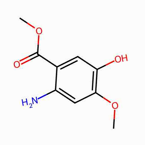 COC(=O)c1cc(O)c(OC)cc1N